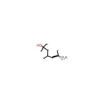 CC(=CC(C)CC(C)(C)O)C(=O)O